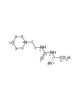 CC(C)[C@H](NC(=O)NCCN1CCOCC1)C(=O)O